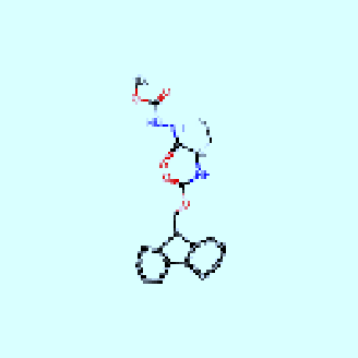 CC(C)C[C@H](NC(=O)OCC1c2ccccc2-c2ccccc21)C(=O)NNC(=O)OC(C)(C)C